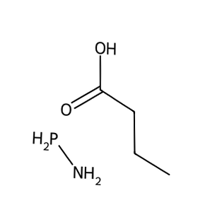 CCCC(=O)O.NP